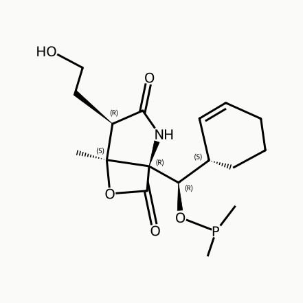 CP(C)O[C@H]([C@@H]1C=CCCC1)[C@@]12NC(=O)[C@H](CCO)[C@]1(C)OC2=O